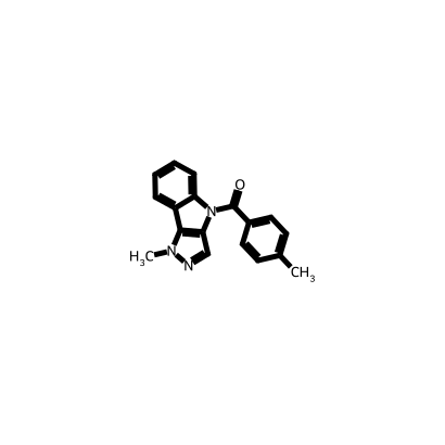 Cc1ccc(C(=O)n2c3ccccc3c3c2cnn3C)cc1